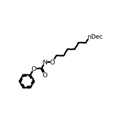 CCCCCCCCCCCCCCCCO[N]C(=O)Oc1ccccc1